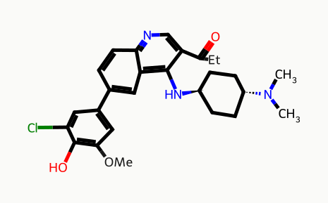 CCC(=O)c1cnc2ccc(-c3cc(Cl)c(O)c(OC)c3)cc2c1N[C@H]1CC[C@H](N(C)C)CC1